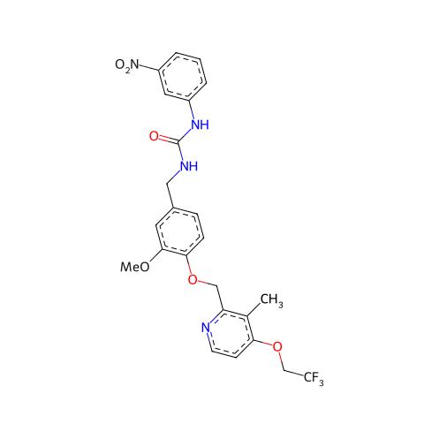 COc1cc(CNC(=O)Nc2cccc([N+](=O)[O-])c2)ccc1OCc1nccc(OCC(F)(F)F)c1C